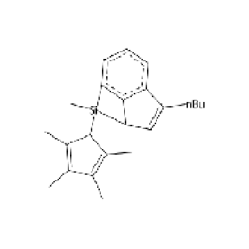 CCCCC1=CC2c3c1cccc3[Si]2(C)C1C(C)=C(C)C(C)=C1C